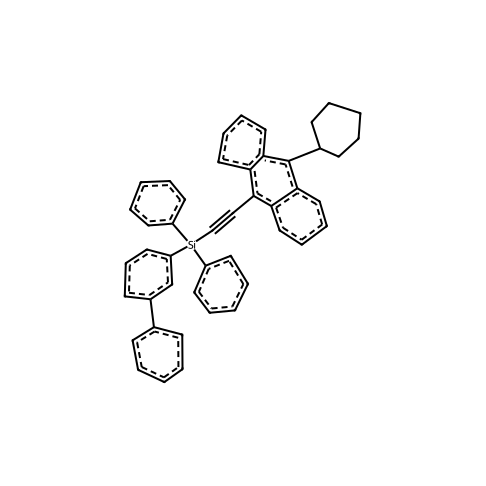 C(#C[Si](c1ccccc1)(c1ccccc1)c1cccc(-c2ccccc2)c1)c1c2ccccc2c(C2CCCCC2)c2ccccc12